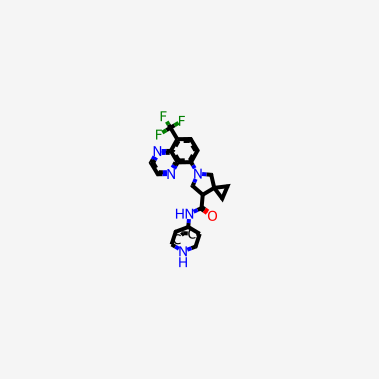 O=C(NC1CC2CCCC1CN2)C1CN(c2ccc(C(F)(F)F)c3nccnc23)CC12CC2